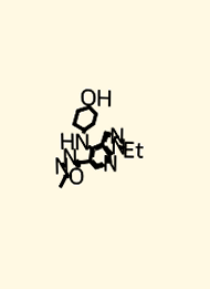 CCn1ncc2c(NC3CCC(O)CC3)c(-c3nnc(C)o3)cnc21